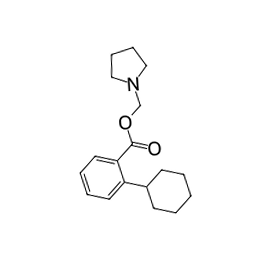 O=C(OCN1CCCC1)c1ccccc1C1CCCCC1